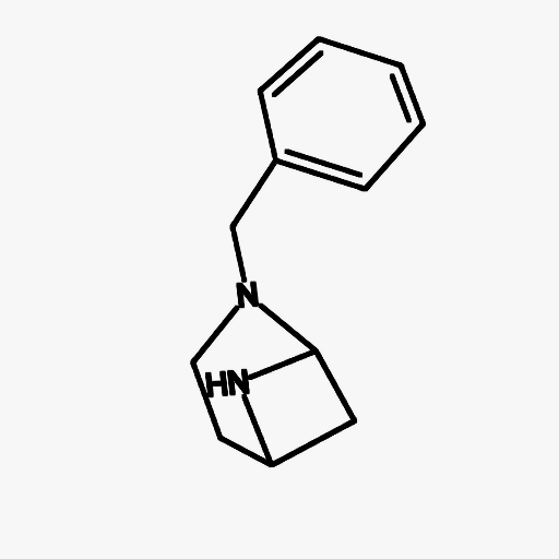 c1ccc(CN2CCC3CC2N3)cc1